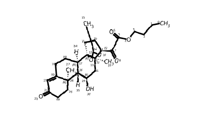 CCCCOC(=O)C(=O)[C@@]12CC[C@@]3(OC(C)O1)[C@@H]1CCC4=CC(=O)CC[C@]4(C)[C@H]1[C@H](O)C[C@]23C